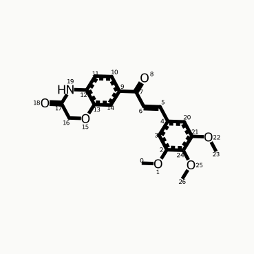 COc1cc(C=CC(=O)c2ccc3c(c2)OCC(=O)N3)cc(OC)c1OC